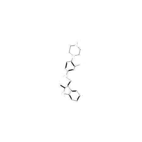 CN1CCN(c2ccc(NC=C3C(=O)Nc4ccccc43)cc2F)CC1